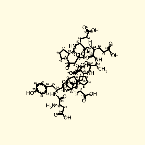 CC[C@H](C)[C@H](NC(=O)[C@@H]1CCCN1C(=O)[C@H](CCC(=O)O)NC(=O)[C@H](Cc1ccc(O)cc1)NC(=O)[C@@H](N)CC(=O)O)C(=O)N1CCC[C@H]1C(=O)N[C@@H](CCC(=O)O)C(=O)N[C@@H](CCC(=O)O)C(=O)N[C@@H](C)C(=O)N[C@@H](CC1CCCCC1)C(=O)O